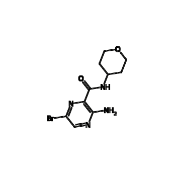 Nc1ncc(Br)nc1C(=O)NC1CCOCC1